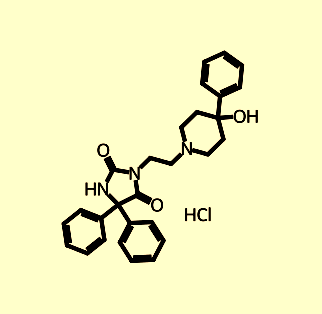 Cl.O=C1NC(c2ccccc2)(c2ccccc2)C(=O)N1CCN1CCC(O)(c2ccccc2)CC1